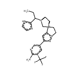 CCC(c1ncc[nH]1)N1CC[C@]2(CCn3nc(-c4cnc(N)c(C(F)(F)F)c4)cc32)C1